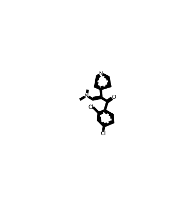 CN(C)/C=C(/C(=O)c1ccc(Cl)cc1Cl)c1ccncc1